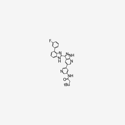 CC(C)(C)CC(=O)Nc1cncc(-c2cnc3[nH]nc(-c4nc5c(-c6cccc(F)c6)cccc5[nH]4)c3c2)c1